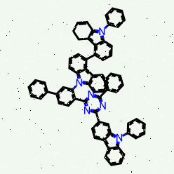 C1=Cc2c(c3c(-c4cccc5c4c4ccccc4n5-c4cc(-c5ccccc5)ccc4-c4nc(-c5ccccc5)nc(-c5ccc6c7ccccc7n(-c7ccccc7)c6c5)n4)cccc3n2-c2ccccc2)CC1